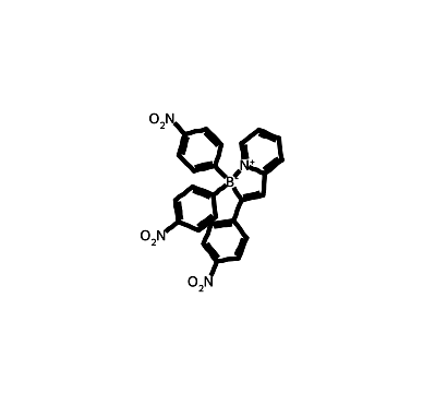 O=[N+]([O-])c1ccc(C2=Cc3cccc[n+]3[B-]2(c2ccc([N+](=O)[O-])cc2)c2ccc([N+](=O)[O-])cc2)cc1